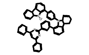 [O-][S@@+]1c2c(-c3ccc(N4c5c(-c6cccc(-c7nc(-c8ccccc8)cc(-c8ccccc8)n7)c6)cccc5C5CCC=CC54)cc3)cccc2C2C=CC=CC21